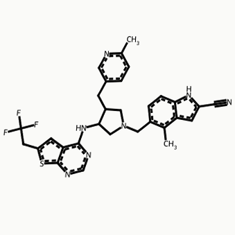 Cc1ccc(CC2CN(Cc3ccc4[nH]c(C#N)cc4c3C)CC2Nc2ncnc3sc(CC(F)(F)F)cc23)cn1